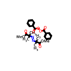 COC(=O)C(C)(C)N=NC(C)(C)C(=O)OC.O=C(OOC(=O)c1ccccc1)c1ccccc1